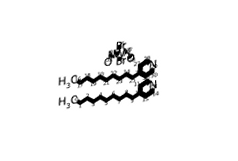 CCCCCCCCCCc1ccncc1.CCCCCCCCCCc1ccncc1.O=[N][W]([Br])([Br])[N]=O